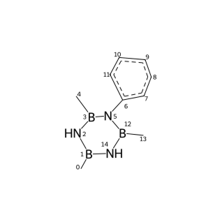 CB1NB(C)N(c2ccccc2)B(C)N1